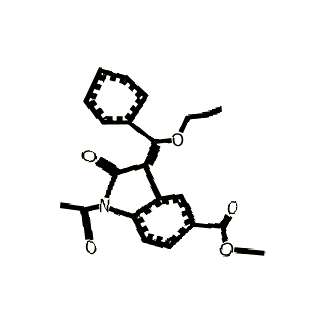 CCO/C(=C1/C(=O)N(C(C)=O)c2ccc(C(=O)OC)cc21)c1ccccc1